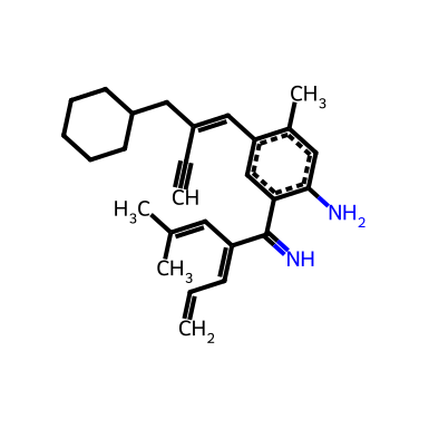 C#C/C(=C\c1cc(C(=N)/C(C=C(C)C)=C/C=C)c(N)cc1C)CC1CCCCC1